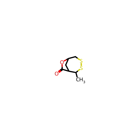 CC1SSCC2CC1C(=O)O2